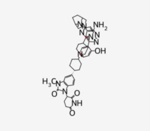 Cn1c(=O)n(C2CCC(=O)NC2=O)c2ccc([C@H]3CC[C@H](N4CCC(c5nccc(N6C7CCC6CN(c6cc(-c8ccccc8O)nnc6N)C7)n5)CC4)CC3)cc21